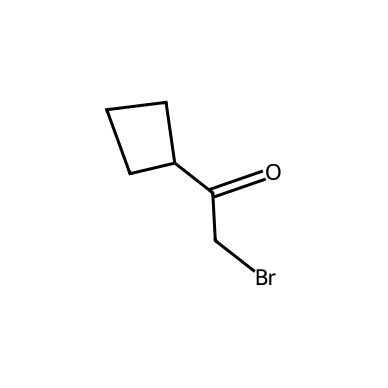 O=C(CBr)C1CCC1